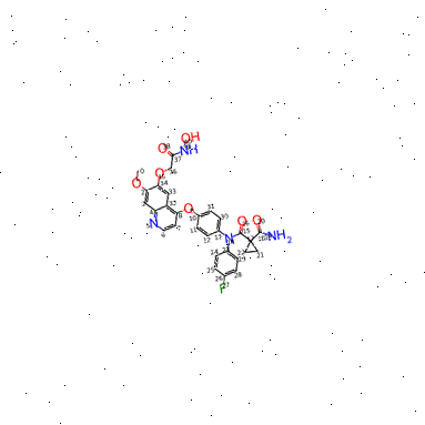 COc1cc2nccc(Oc3ccc(N(C(=O)C4(C(N)=O)CC4)c4ccc(F)cc4)cc3)c2cc1OCC(=O)NO